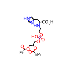 CCCC(=O)OC(COC(=O)CC)COP(=O)(O)OCCNC(Cc1c[nH]cn1)C(=O)O